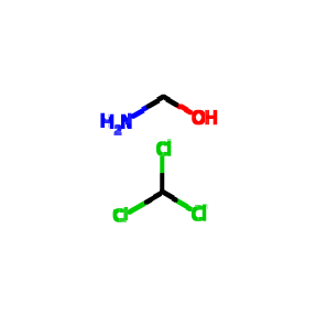 ClC(Cl)Cl.NCO